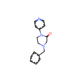 O=C1CN(Cc2ccccc2)CCN1c1ccncc1